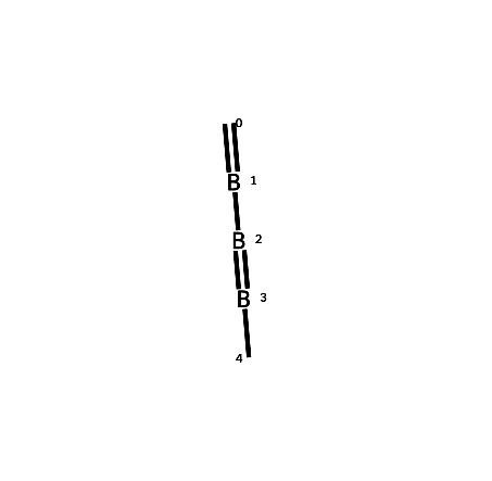 C=BB=BC